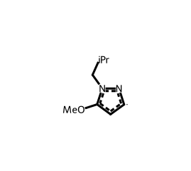 COc1c[c]nn1CC(C)C